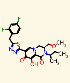 CCC(C)N1C(=O)c2c(O)c(=O)c(-c3nnc(Cc4ccc(F)cc4F)s3)cn2C[C@H]1COC